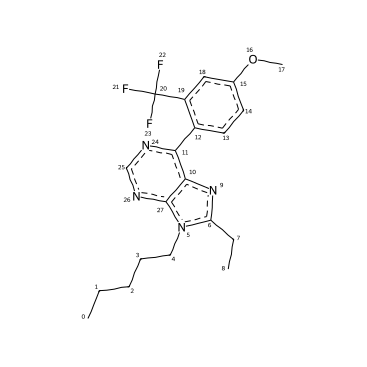 CCCCCn1c(CC)nc2c(-c3ccc(OC)cc3C(F)(F)F)ncnc21